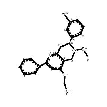 CCOc1cc(-c2ccccc2)nc2c1CN(SI)[C@H](c1cccc(Cl)c1)C2